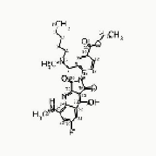 CCCCCN(C)Cc1cc(C(=O)OCC)ccc1N1C(=O)c2nc3c(NC)cc(F)cc3c(O)c2C1=O